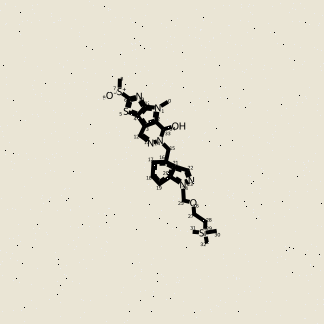 Cn1c2c(c3sc([S+](C)[O-])nc31)C=NN(Cc1cccc3c1cnn3COCC[Si](C)(C)C)C2O